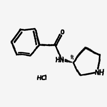 Cl.O=C(N[C@@H]1CCNC1)c1ccccc1